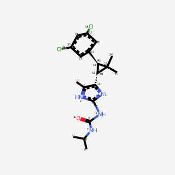 Cc1[nH]c(NC(=O)NC(C)C)nc1[C@@H]1[C@@H](c2cc(Cl)cc(Cl)c2)C1(C)C